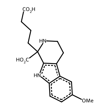 COc1ccc2[nH]c3c(c2c1)CCNC3(CCCC(=O)O)C(=O)O